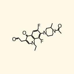 CCn1cc(CC=O)c(=O)c2cc(F)c(N3CCN(C(C)=O)C(C)C3)c(F)c21